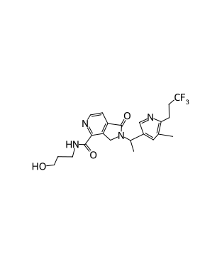 Cc1cc(C(C)N2Cc3c(ccnc3C(=O)NCCCO)C2=O)cnc1CCC(F)(F)F